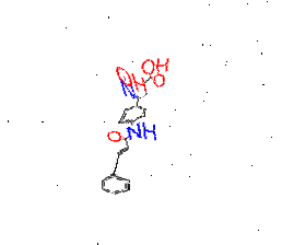 O=C(O)CCC(=NO)c1ccc(NC(=O)/C=C/c2ccccc2)cc1